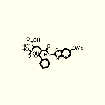 COc1ccc2nc(NC(=O)C(CC(P(=O)(O)O)P(=O)(O)O)C(=O)c3ccccc3)sc2c1